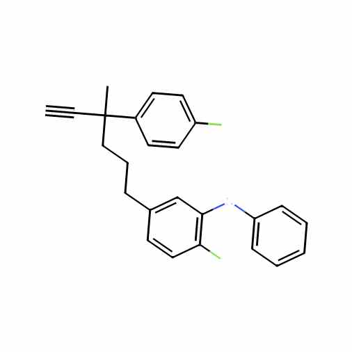 C#CC(C)(CCCc1ccc(F)c(Nc2ccccc2)c1)c1ccc(F)cc1